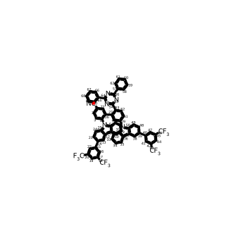 N#Cc1ccc(-n2c3ccccc3c3cc(-c4cc(C(F)(F)F)cc(C(F)(F)F)c4)ccc32)c(-c2cc(-n3c4ccccc4c4cc(-c5cc(C(F)(F)F)cc(C(F)(F)F)c5)ccc43)ccc2-c2nc(-c3ccccc3)nc(-c3ccccc3)n2)c1